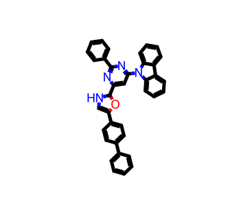 C1=C(c2ccc(-c3ccccc3)cc2)OC(c2cc(-n3c4ccccc4c4ccccc43)nc(-c3ccccc3)n2)N1